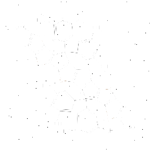 Cc1cc(C)cc(C2(c3cc(C)cc(C)c3)c3c(sc4cc(C=O)sc34)-c3sc4c5c(sc4c32)-c2sc3cc(C=O)sc3c2C5(c2cc(C)cc(C)c2)c2cc(C)cc(C)c2)c1